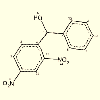 O=[N+]([O-])c1ccc(C(O)c2ccccc2)c([N+](=O)[O-])c1